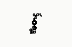 CC(=O)OCc1ccc(-c2ccc(S(=O)(=O)Cl)s2)cc1